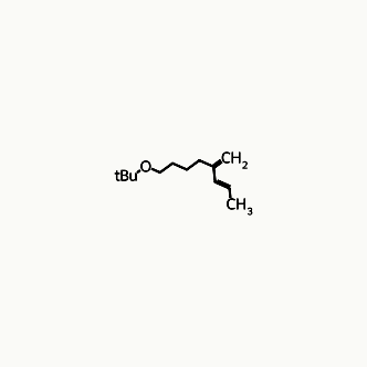 C=C(C=CC)CCCCOC(C)(C)C